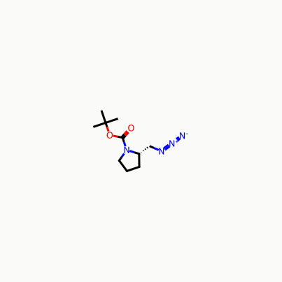 CC(C)(C)OC(=O)N1CCC[C@H]1CN=[N+]=[N-]